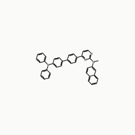 CN(c1ccc2ccccc2c1)c1nccc(-c2ccc(-c3ccc(N(c4ccccc4)c4ccccc4)cc3)cc2)n1